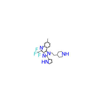 Cc1ccc2c(c1)nc(C(F)(F)F)c1nc(-c3ccc[nH]3)n(CCC3CCNCC3)c12